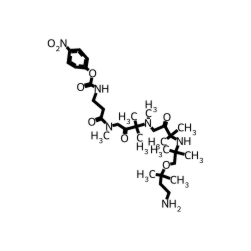 CN(CC(=O)C(C)(C)N(C)CC(=O)C(C)(C)NC(C)(C)COC(C)(C)CCN)C(=O)CCNC(=O)Oc1ccc([N+](=O)[O-])cc1